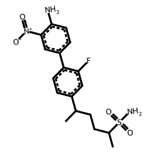 CC(CCC(C)S(N)(=O)=O)c1ccc(-c2ccc(N)c([N+](=O)[O-])c2)c(F)c1